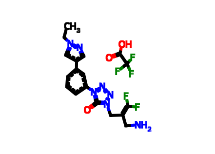 CCn1cc(-c2cccc(-n3nnn(CC(CN)=C(F)F)c3=O)c2)cn1.O=C(O)C(F)(F)F